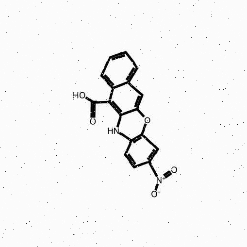 O=C(O)c1c2c(cc3ccccc13)Oc1cc([N+](=O)[O-])ccc1N2